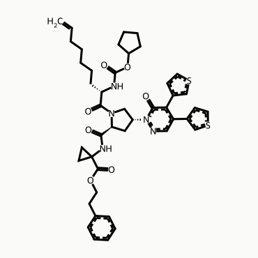 C=CCCCCC[C@H](NC(=O)OC1CCCC1)C(=O)N1C[C@H](n2ncc(-c3ccsc3)c(-c3ccsc3)c2=O)C[C@H]1C(=O)NC1(C(=O)OCCc2ccccc2)CC1